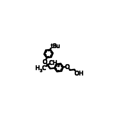 CC(C)(Cc1ccc(OCCO)cc1)Oc1ccc(C(C)(C)C)cc1